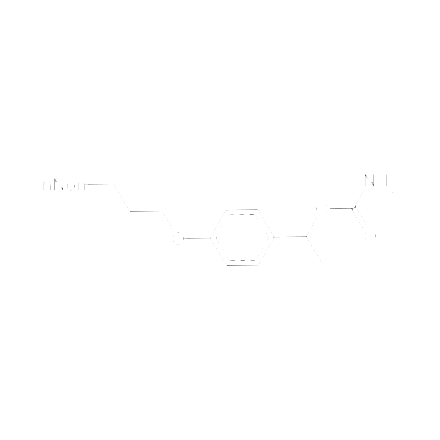 CCCCCCCCCCCCOc1ccc(C(C)OC(N)=O)cc1